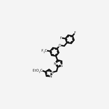 CCOC(=O)c1cnn(Cc2nc(-c3cc(OCc4ccc(F)cc4F)cc(C(F)(F)F)c3)cs2)c1